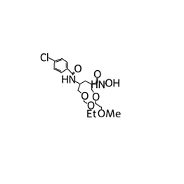 CCOCOCC(CC(COCCOC)C(=O)NO)NC(=O)c1ccc(Cl)cc1